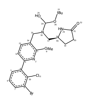 COc1nc(-c2cccc(Br)c2Cl)ccc1CN(C[C@@H]1CCC(=O)N1)C(O)OC(C)(C)C